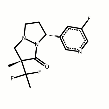 CC(F)(F)[C@]1(C)CN2CC[C@H](c3cncc(F)c3)N2C1=O